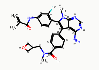 C=C(C)C(=O)Nc1ccc(-c2c(-c3ccc(C(=O)N(C)CC4COC4)cc3)c3c(N)ncnc3n2C)c(F)c1